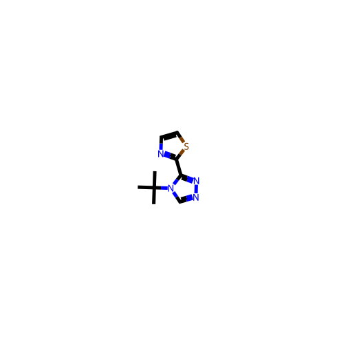 CC(C)(C)n1cnnc1-c1nccs1